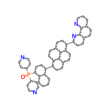 O=P(c1ccncc1)(c1ccncc1)c1ccc(-c2ccc3ccc4c(-c5ccc6ccc7cccnc7c6n5)ccc5ccc2c3c54)c2ccccc12